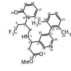 COC(=O)CC(NCC(CC(F)(F)F)n1ccccc1=O)c1cncc(-c2c(C)cccc2C)c1